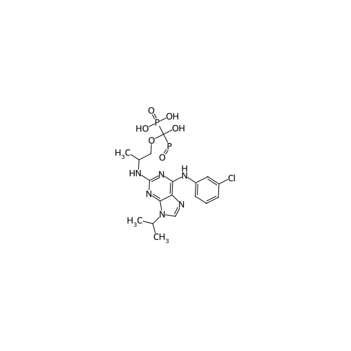 CC(COC(O)(P=O)P(=O)(O)O)Nc1nc(Nc2cccc(Cl)c2)c2ncn(C(C)C)c2n1